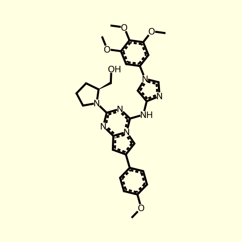 COc1ccc(-c2cc3nc(N4CCC[C@H]4CO)nc(Nc4cn(-c5cc(OC)c(OC)c(OC)c5)cn4)n3c2)cc1